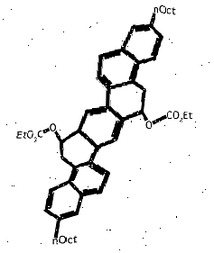 CCCCCCCCc1ccc2c3c(ccc2c1)C1=CC2C(OC(=O)OCC)Cc4c(ccc5cc(CCCCCCCC)ccc45)C2C=C1C(OC(=O)OCC)C3